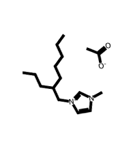 CC(=O)[O-].CCCCCC(CCC)C[n+]1ccn(C)c1